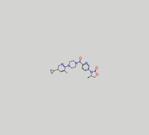 CC1=CC(C2CC2)CN=C1N1CCN(C(=O)c2ccc(N3C(=O)OC[C@H]3C)cn2)CC1